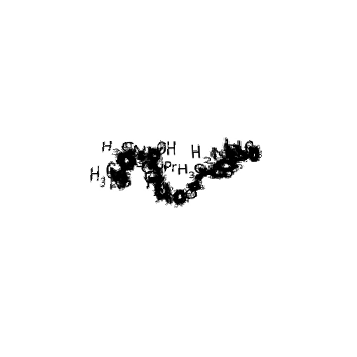 Cc1ncsc1-c1ccc([C@H](C)NC(=O)[C@@H]2C[C@@H](O)CN2C(=O)[C@@H](c2cc(N3CCC(CN4CCC(O[C@H]5C[C@H](C#CC(C)N6CCOC7(CCN(c8cc(-c9ccccc9O)nnc8N)CC7)C6)C5)CC4)CC3)no2)C(C)C)cc1